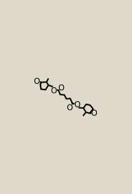 CC1C(COC(=O)CCCCC(=O)OCC2CCC3OC3C2C)CCC2OC21